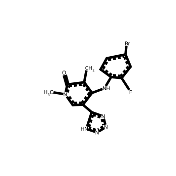 Cc1c(Nc2ccc(Br)cc2F)c(-c2nnn[nH]2)cn(C)c1=O